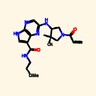 C=CC(=O)N1CC(Nc2cnc3[nH]cc(C(=O)NCCOC)c3n2)[C@](C)(C#N)C1